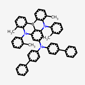 Cc1ccccc1N1c2cc(N(c3ccc(-c4ccccc4)cc3)c3ccc(-c4ccccc4)cc3)cc3c2B(c2cccc(C)c21)c1cccc(C)c1N3c1ccccc1C